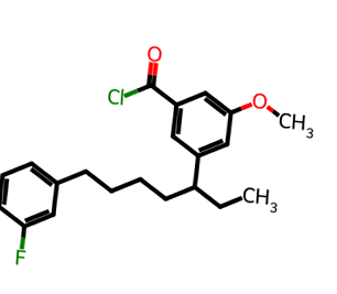 CCC(CCCCc1cccc(F)c1)c1cc(OC)cc(C(=O)Cl)c1